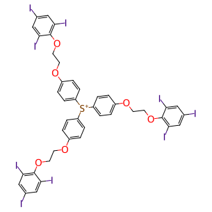 Ic1cc(I)c(OCCOc2ccc([S+](c3ccc(OCCOc4c(I)cc(I)cc4I)cc3)c3ccc(OCCOc4c(I)cc(I)cc4I)cc3)cc2)c(I)c1